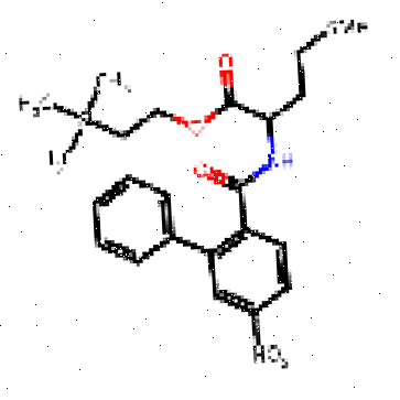 CSCCC(NC(=O)c1ccc([N+](=O)[O-])cc1-c1ccccc1)C(=O)OCC[Si](C)(C)C